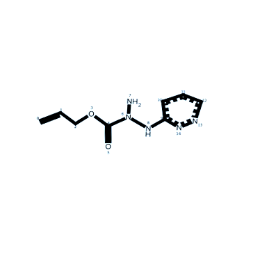 C=CCOC(=O)N(N)Nc1cccnn1